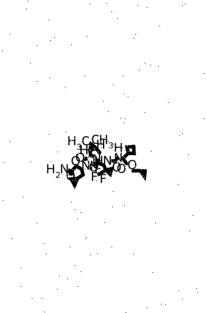 CC1(C)[C@@H]2[C@@H](C(=O)NC(CC3CC3)C(=O)C(N)=O)N(C(=O)[C@@H](NC(=O)N[C@H](C(=O)OCC3CC3)C3CCC3)C3(C(F)(F)F)CC3)C[C@@H]21